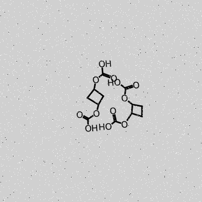 O=C(O)OC1CC(OC(=O)O)C1.O=C(O)OC1CCC1OC(=O)O